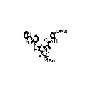 CO[C@@H]1CC[C@@H](NC(=O)c2cnn3c(N(C)C(=O)OC(C)(C)C)cc(Nc4cccn(-c5ncccc5F)c4=O)nc23)C1